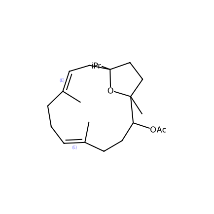 CC(=O)OC1CC/C(C)=C/CC/C(C)=C/CC2(C(C)C)CCC1(C)O2